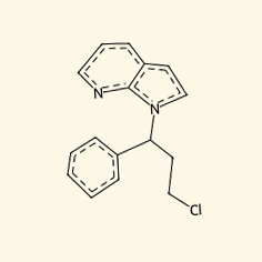 ClCCC(c1ccccc1)n1ccc2cccnc21